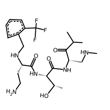 CNC[C@H](NC(=O)[C@@H](NC(=O)[C@H](CCN)NCc1ccccc1C(F)(F)F)[C@H](C)O)C(=O)C(C)C